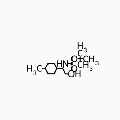 CC(C)(C)OC(=O)NC(CO)[C@H]1CC[C@@H](C)CC1